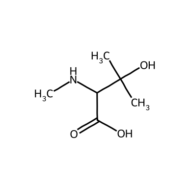 CNC(C(=O)O)C(C)(C)O